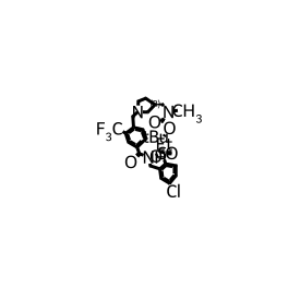 CCS(=O)(=O)c1ccc(Cl)cc1CNC(=O)c1ccc(CN2CC[C@@H](CN(C)C(=O)OC(C)(C)C)C2)c(C(F)(F)F)c1